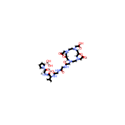 CC(C)[C@H](NC(=O)CNC(=O)CNC(=O)CN1CCN2CC(=O)OC(CN(CC(=O)O)CCN3CC(=O)OC(C1)C3)C2)C(=O)N[C@H](C)C(=O)N1CCC[C@H]1B(O)O